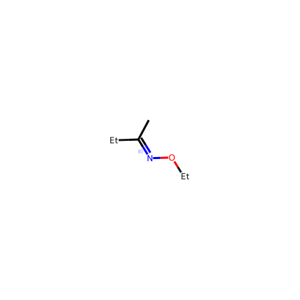 [CH2]C/C(C)=N/OCC